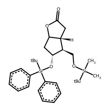 CC(C)(C)[Si](C)(C)OC[C@H]1[C@H](O[Si](c2ccccc2)(c2ccccc2)C(C)(C)C)CC2OC(=O)C[C@@H]21